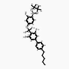 CCCCCc1ccc(-c2cc(F)c(C(F)(F)Oc3ccc(B4OC(C)(C)C(C)(C)O4)c(F)c3)c(F)c2)cc1